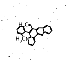 C=Cc1c(-c2ccccc2C)c2ncccc2c2cc3ccccc3cc12